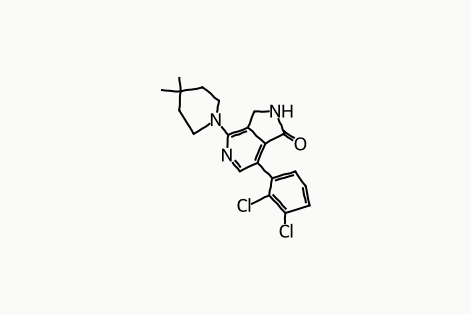 CC1(C)CCN(c2ncc(-c3cccc(Cl)c3Cl)c3c2CNC3=O)CC1